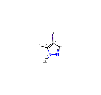 CCn1ncc(I)c1C